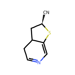 N#C[C@@H]1CC2CC=NC=C2S1